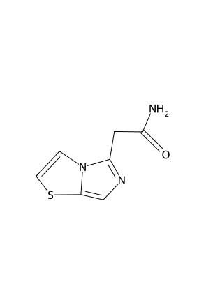 NC(=O)Cc1ncc2sccn12